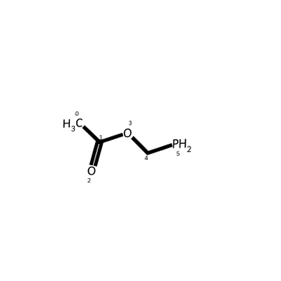 CC(=O)OCP